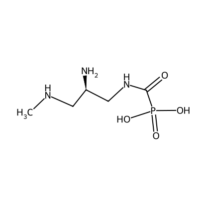 CNC[C@@H](N)CNC(=O)P(=O)(O)O